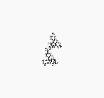 CN1CCN(C(c2ccccc2)C2CCN(C(=O)CNC(=O)CC(c3ccc(F)cc3)c3ccc(F)cc3)CC2)CC1